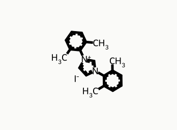 Cc1cccc(C)c1-n1cc[n+](-c2c(C)cccc2C)c1.[I-]